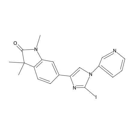 CN1C(=O)C(C)(C)c2ccc(-c3cn(-c4cccnc4)c(I)n3)cc21